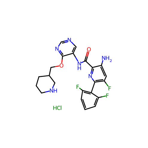 Cl.Nc1cc(F)c(-c2c(F)cccc2F)nc1C(=O)Nc1cncnc1OCC1CCCNC1